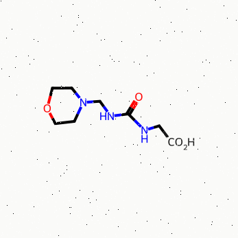 O=C(O)CNC(=O)NCN1CCOCC1